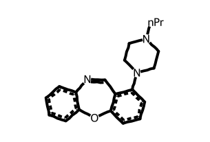 CCCN1CCN(c2cccc3c2C=Nc2ccccc2O3)CC1